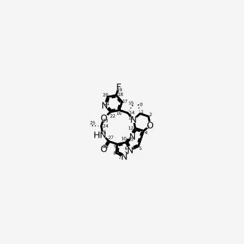 C[C@@H]1COc2cn3ncc4c3nc2N1[C@@H](C)c1cc(F)cnc1O[C@@H](C)NC4=O